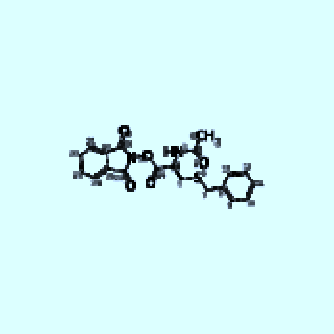 CC(=O)N[C@@H](CSCc1ccccc1)C(=O)ON1C(=O)c2ccccc2C1=O